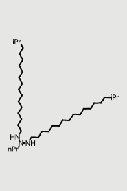 CCCN(NCCCCCCCCCCCCCCCC(C)C)NCCCCCCCCCCCCCCCC(C)C